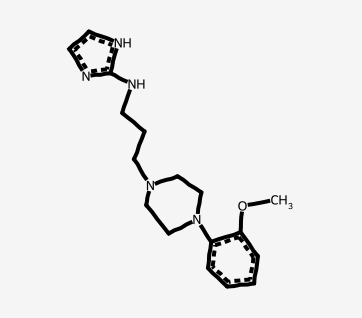 COc1ccccc1N1CCN(CCCNc2ncc[nH]2)CC1